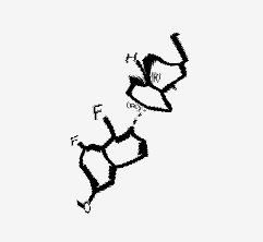 COc1cc(F)c2c(F)c([C@@H]3CC[C@@H]4CC(C)CCC4C3)ccc2c1